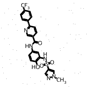 Cn1cc(S(=O)(=O)Nc2cc(NC(=O)c3ccc(-c4ccc(C(F)(F)F)cc4)nc3)ccc2O)cn1